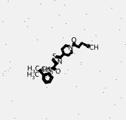 C#CCCC(=O)N1CCC(c2nc(C(=O)Nc3ccccc3C(C)(C)C)cs2)CC1